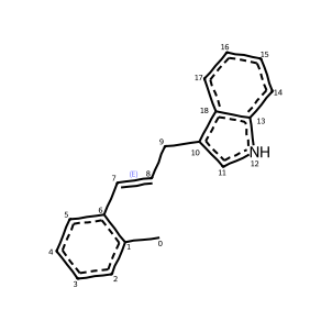 Cc1ccccc1/C=C/Cc1c[nH]c2ccccc12